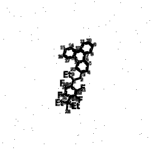 CCC(Cc1ccc2c3ccccc3c3ccccc3c2c1)c1c(F)c(F)c(C(C)(CC)CC)c(F)c1F